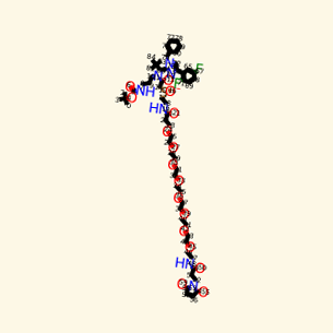 CC(C)(C)OC(=O)NCCCN(C(=O)C[S+]([O-])CCNC(=O)CCOCCOCCOCCOCCOCCOCCOCCOCCNC(=O)CCN1C(=O)C=CC1=O)C(c1nc(-c2cc(F)ccc2F)cn1Cc1ccccc1)C(C)(C)C